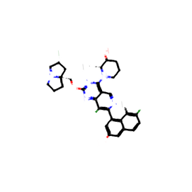 CCc1c(F)ccc2cc(O)cc(-c3ncc4c(N5CCCC(O)[C@@H]5C)nc(OC[C@@]56CCCN5C[C@H](F)C6)nc4c3F)c12